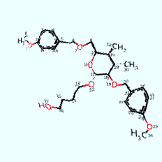 COc1ccc(COCC2O[C@@H](OCCCCO)C(OCc3ccc(OC)cc3)[C@@H](C)[C@@H]2C)cc1